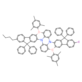 CCCCc1ccc2c(c1)C(c1ccccc1)(c1ccccc1)c1cc3c(cc1-2)B(c1c(C)cc(C)cc1C)c1cccc2c1N3c1cccc3c1N2c1cc2c(cc1B3c1c(C)cc(C)cc1C)-c1ccc(I)cc1C2(c1ccccc1)c1ccccc1